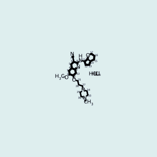 COc1cc2cc(C#N)c(Nc3ccc4cccoc3-4)nc2cc1OCCCN1CCN(C)CC1.Cl.Cl